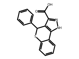 O=C(O)c1n[nH]c2c1C(c1ccccc1)Sc1ccccc1-2